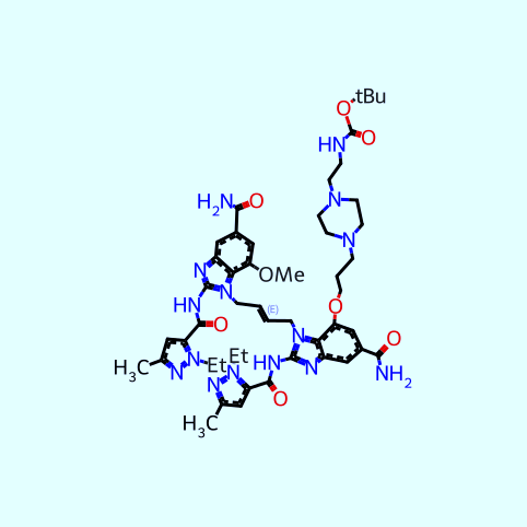 CCn1nc(C)cc1C(=O)Nc1nc2cc(C(N)=O)cc(OC)c2n1C/C=C/Cn1c(NC(=O)c2cc(C)nn2CC)nc2cc(C(N)=O)cc(OCCCN3CCN(CCNC(=O)OC(C)(C)C)CC3)c21